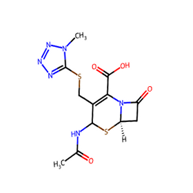 CC(=O)NC1S[C@@H]2CC(=O)N2C(C(=O)O)=C1CSc1nnnn1C